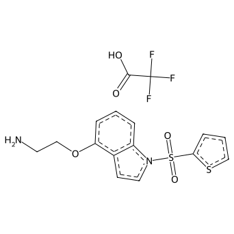 NCCOc1cccc2c1ccn2S(=O)(=O)c1cccs1.O=C(O)C(F)(F)F